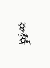 CC(C)CC(NC(=O)OCc1ccccc1)C(N)=O